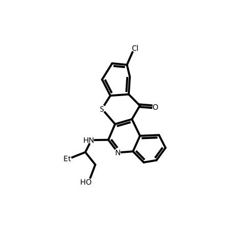 CCC(CO)Nc1nc2ccccc2c2c(=O)c3cc(Cl)ccc3sc12